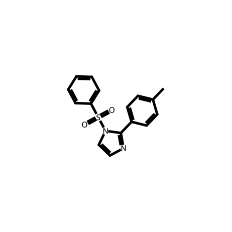 Cc1ccc(-c2nccn2S(=O)(=O)c2ccccc2)cc1